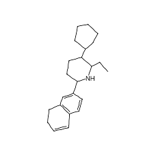 CCC1NC(c2ccc3c(c2)CCC=C3)CCC1C1CCCCC1